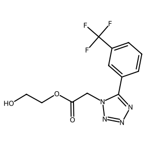 O=C(Cn1nnnc1-c1cccc(C(F)(F)F)c1)OCCO